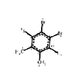 Cc1c(C)c(I)c(Br)c(Br)c1I